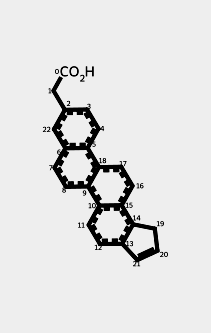 O=C(O)Cc1ccc2c(ccc3c4ccc5c(c4ccc23)CC=C5)c1